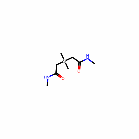 CNC(=O)C[Si](C)(C)CC(=O)NC